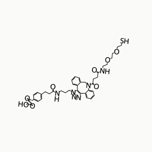 O=C(CCC(=O)N1Cc2ccccc2-c2c(nnn2CCCNC(=O)CCc2ccc(S(=O)(=O)O)cc2)-c2ccccc21)NCCOCCOCCS